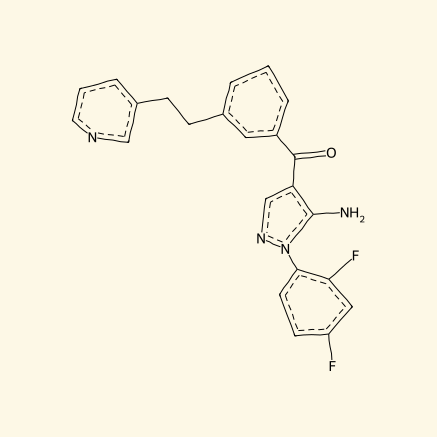 Nc1c(C(=O)c2cccc(CCc3cccnc3)c2)cnn1-c1ccc(F)cc1F